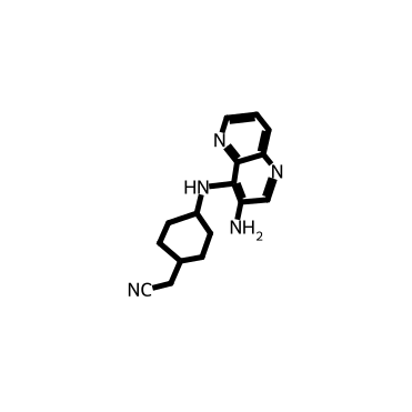 N#CCC1CCC(Nc2c(N)cnc3cccnc23)CC1